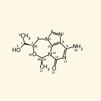 CC(O)[C@H]1Cn2cnc3c(N)nc(=O)n(c32)[C@@H](C)O1